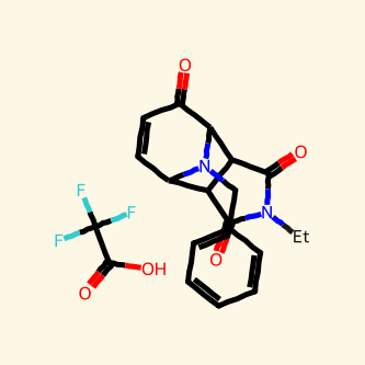 CCN1C(=O)C2C(C1=O)C1C(=O)C=CC2N1Cc1ccccc1.O=C(O)C(F)(F)F